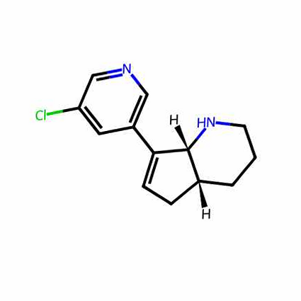 Clc1cncc(C2=CC[C@H]3CCCN[C@@H]23)c1